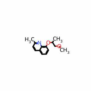 COCC(C)Oc1cccc2ccc(C)nc12